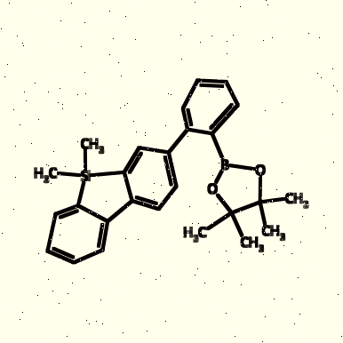 CC1(C)OB(c2ccccc2-c2ccc3c(c2)[Si](C)(C)c2ccccc2-3)OC1(C)C